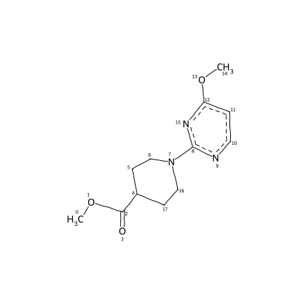 COC(=O)C1CCN(c2nccc(OC)n2)CC1